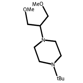 COCC(COC)N1CCN(C(C)(C)C)CC1